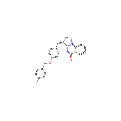 Cc1ccc(COc2ccc(/C=C3/CCn4c3nc(=O)c3ccccc34)cc2)cc1